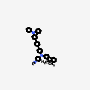 [C-]#[N+]c1ccc(N(c2ccc(-c3ccc(-c4ccc5c(c4)c4ccccc4n5-c4ccccc4)cc3)cc2)c2ccc3c(c2)C(C)(C)c2ccccc2-3)cc1